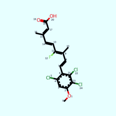 COc1cc(Cl)c(C=CC(C)=C(F)C=CC(C)=CC(=O)O)c(Cl)c1Cl